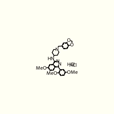 COc1ccc(OC)c(-c2nnc(NC3CCN(Cc4ccc5c(c4)OCO5)CC3)c3cc(OC)ccc23)c1.Cl.Cl